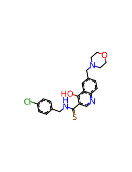 Oc1c(C(=S)NCc2ccc(Cl)cc2)cnc2ccc(CN3CCOCC3)cc12